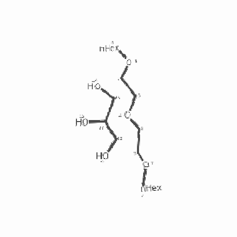 CCCCCCOCCOCCOCCCCCC.OCC(O)CO